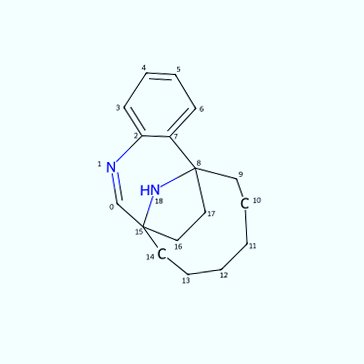 C1=Nc2ccccc2C23CCCCCCC1(CC2)N3